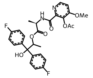 COc1ccnc(C(=O)N[C@H](C)C(=O)OC(C)C(O)(c2ccc(F)cc2)c2ccc(F)cc2)c1OC(C)=O